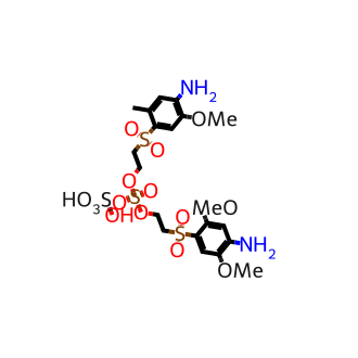 COc1cc(S(=O)(=O)CCOS(=O)(=O)OCCS(=O)(=O)c2cc(OC)c(N)cc2OC)c(C)cc1N.O=S(=O)(O)O